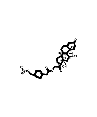 C[C@]12C=CC(=O)C=C1CC[C@@H]1[C@@H]2[C@@H](O)C[C@@]2(C)[C@H]1CC[C@]2(O)C(=O)COC(=O)Cc1ccc(CO[N+](=O)[O-])cc1